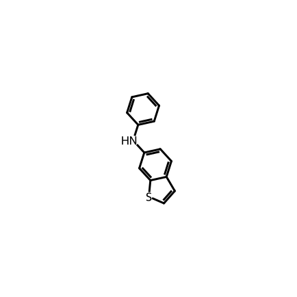 c1ccc(Nc2ccc3ccsc3c2)cc1